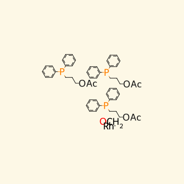 C=O.CC(=O)OCCCP(c1ccccc1)c1ccccc1.CC(=O)OCCCP(c1ccccc1)c1ccccc1.CC(=O)OCCCP(c1ccccc1)c1ccccc1.[Rh]